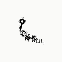 Cc1noc(-c2cnc(N3CCN(CC#Cc4ccccc4)CC3)s2)n1